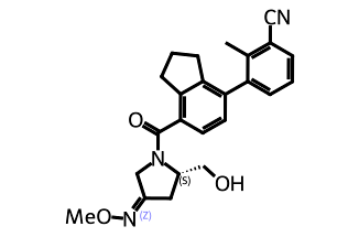 CO/N=C1/C[C@@H](CO)N(C(=O)c2ccc(-c3cccc(C#N)c3C)c3c2CCC3)C1